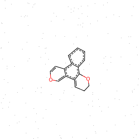 C1=Cc2c(c3c(c4ccccc24)OCCC=3)=CO1